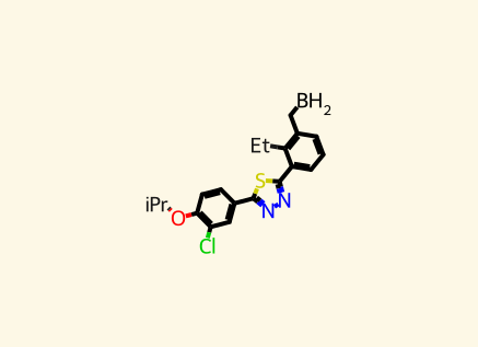 BCc1cccc(-c2nnc(-c3ccc(OC(C)C)c(Cl)c3)s2)c1CC